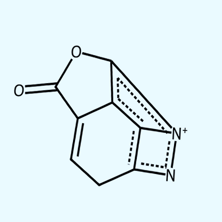 O=C1Oc2c3c4c(n[n+]2-4)CC=C13